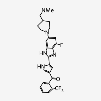 CNCC1CCN(c2cc(F)c3nc(-c4cc(C(=O)c5ccccc5C(F)(F)F)c[nH]4)[nH]c3c2)CC1